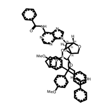 COc1ccc(C(OC[C@@]23CO[C@@H]([C@H](n4cnc5c(NC(=O)c6ccccc6)ncnc54)O2)[C@@H]3OP(SCC[SH]=C(O)c2ccccc2)N2CCCC2)(c2ccccc2)c2ccc(OC)cc2)cc1